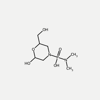 CN(C)P(=O)(O)N1CC(O)OC(CO)C1